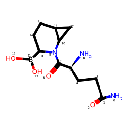 NC(=O)CC[C@H](N)C(=O)N1C(B(O)O)CCC2CC21